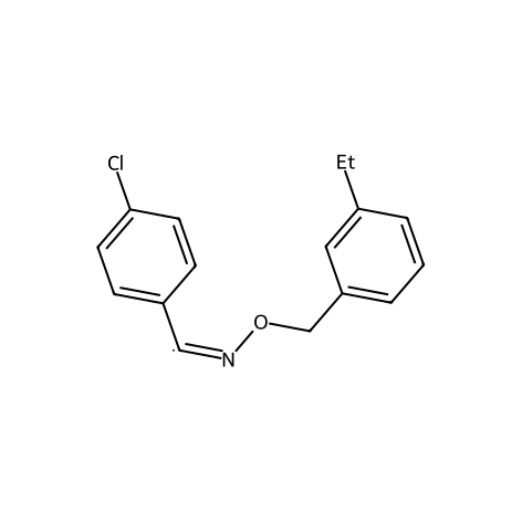 CCc1cccc(CO/N=[C]\c2ccc(Cl)cc2)c1